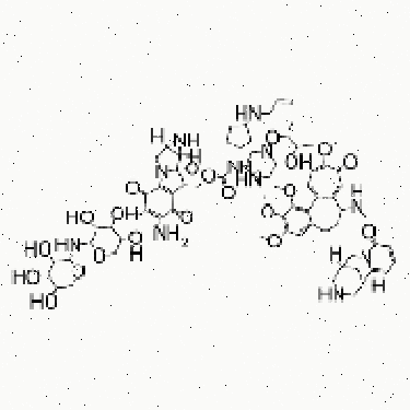 C=CCNC1CCCC1.CC(O)C(C)ON1CCNCC1.CNC1CCc2cc(OC)c(OC)c(OC)c2-c2ccc(OC)c(=O)cc21.CO[C@@]12[C@H](COC(N)=O)C3=C(C(=O)C(C)=C(N)C3=O)N1C[C@@H]1N[C@@H]12.O=c1cccc2n1C[C@@H]1CNC[C@H]2C1.O[C@@H]1[C@@H](O)[C@H](N[C@@H]2OC[C@@H](O)[C@H](O)[C@H]2O)OC[C@H]1O